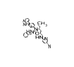 CCC[C@@H](CCCNc1ccc(C#N)cn1)N(C(=O)NCc1ccccc1)c1ccc(-c2cccnc2N)cc1